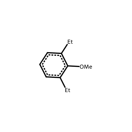 CCc1cccc(CC)c1OC